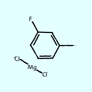 [CH2]c1cccc(F)c1.[Cl][Mg][Cl]